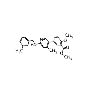 COC(=O)c1cc(-c2cnc(NCc3cccc(C)c3)cc2C)ccc1OC